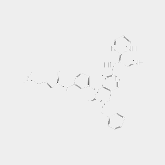 CN(C)C/C=C/C(=O)Nc1cccc(N2C(=O)N(Cc3ccccc3)Cc3cnc(N/C(C=N)=C4\N=CC=CN4)nc32)c1